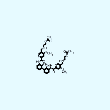 COc1cc(C(=O)Nc2cccc(-c3cccc(NC(=O)c4cc(OC)c(CNCCOC(C)=O)cn4)c3C)c2C)ncc1CNCCOC(C)=O